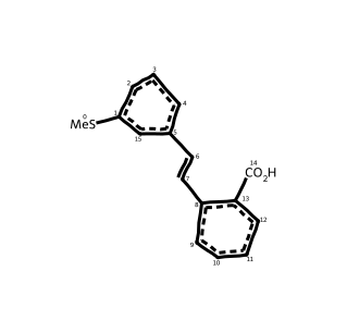 CSc1cccc(C=Cc2ccccc2C(=O)O)c1